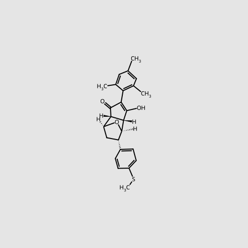 CSc1ccc([C@@H]2C[C@@H]3O[C@H]2[C@H]2C(O)=C(c4c(C)cc(C)cc4C)C(=O)[C@H]23)cc1